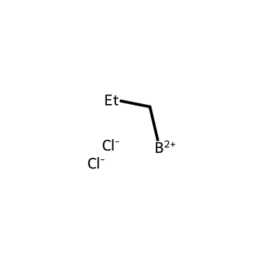 [B+2]CCC.[Cl-].[Cl-]